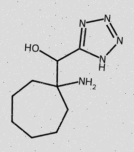 NC1(C(O)c2nnn[nH]2)CCCCCC1